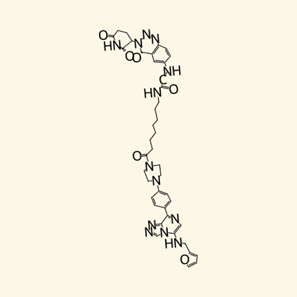 O=C(CNc1ccc2nnn(C3CCC(=O)NC3=O)c(=O)c2c1)NCCCCCCCC(=O)N1CCN(c2ccc(-c3ncc(NCc4ccco4)n4cnnc34)cc2)CC1